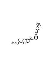 COC(=O)CC1CCc2cc(SCc3cccc(OCc4ccc(C(F)(F)F)cc4)c3)ccc2O1